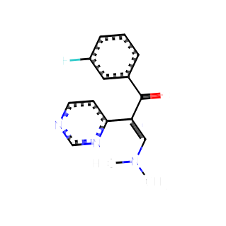 CN(C)/C=C(/C(=O)c1cccc(F)c1)c1ccncn1